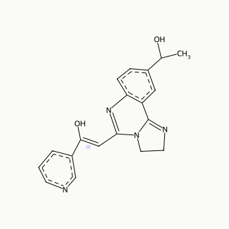 CC(O)c1ccc2c(c1)C1=NCCN1C(/C=C(\O)c1cccnc1)=N2